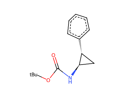 CC(C)(C)OC(=O)N[C@@H]1C[C@H]1c1ccccc1